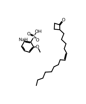 CCCCCCCC/C=C\CCCCC1CCC1=O.COc1ccccc1S(=O)(=O)O.[NaH]